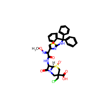 CON=C(C(=O)NC1C(=O)N2CC(CCl)(C(=O)O)C[S+]([O-])[C@H]12)c1csc(NC(c2ccccc2)(c2ccccc2)c2ccccc2)n1